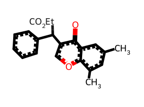 CCOC(=O)C(c1ccccc1)c1coc2c(C)cc(C)cc2c1=O